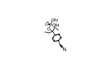 CCC(CC)(OP(=O)(O)O)c1ccc(C#N)cc1